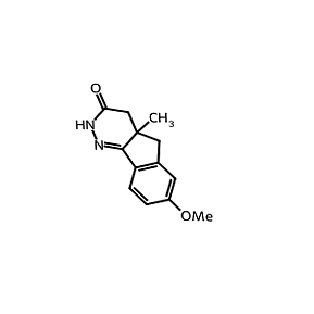 COc1ccc2c(c1)CC1(C)CC(=O)NN=C21